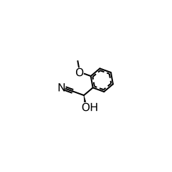 COc1ccccc1[C@@H](O)C#N